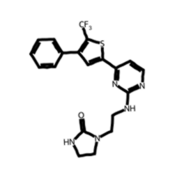 O=C1NCCN1CCNc1nccc(-c2cc(-c3ccccc3)c(C(F)(F)F)s2)n1